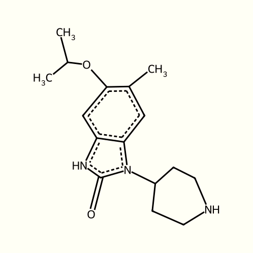 Cc1cc2c(cc1OC(C)C)[nH]c(=O)n2C1CCNCC1